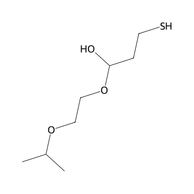 CC(C)OCCOC(O)CCS